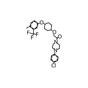 Cc1ccc(OC2CCC(OCC(=O)N3CCN(c4ccc(Cl)cc4)CC3)CC2)cc1C(F)(F)F